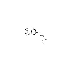 CCC(C)CCOc1cnc(C2(S(C)(=O)=O)CC2)nc1